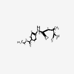 C=C(CC(=O)Nc1ccc(C(=O)OCC)cc1)C(=O)O